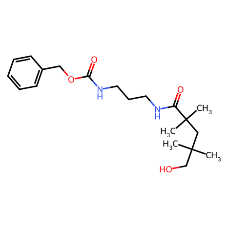 CC(C)(CO)CC(C)(C)C(=O)NCCCNC(=O)OCc1ccccc1